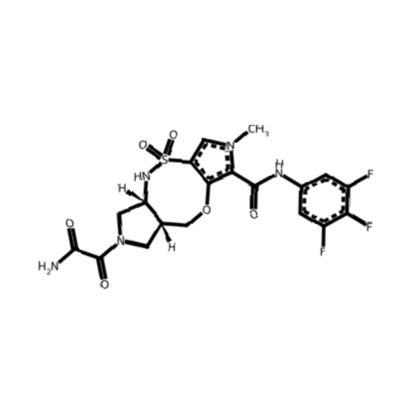 Cn1cc2c(c1C(=O)Nc1cc(F)c(F)c(F)c1)OC[C@@H]1CN(C(=O)C(N)=O)C[C@@H]1NS2(=O)=O